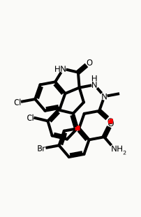 CN(NC1(Cc2cccc(Cl)c2)C(=O)Nc2cc(Cl)ccc21)C(=O)Cc1cc(Br)ccc1C(N)=O